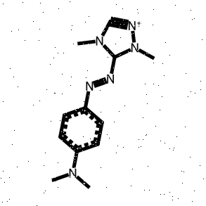 CN(C)c1ccc(N=NC2N(C)C#[N+]N2C)cc1